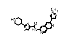 Cn1cc(-c2cc3cc(NC(=O)c4csc(C5CCNCC5)n4)ncc3cn2)cn1